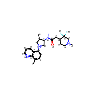 Cc1ccc(N2C[C@@H](C)[C@@H](NC(=O)CC3CCN(C)CC3(F)F)C2)c2cccnc12